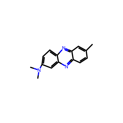 Cc1ccc2nc3cc(N(C)C)ccc3nc2c1